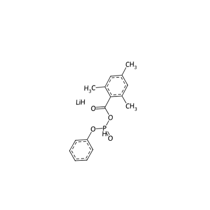 Cc1cc(C)c(C(=O)O[PH](=O)Oc2ccccc2)c(C)c1.[LiH]